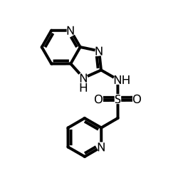 O=S(=O)(Cc1ccccn1)Nc1nc2ncccc2[nH]1